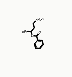 CCCCCCCCCCCC(CCC)OC(=O)c1ccccc1